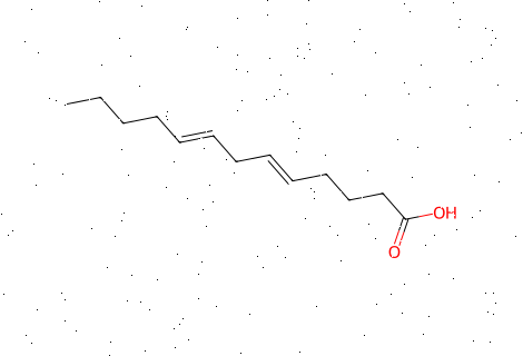 CCCCC=CCC=CCCCC(=O)O